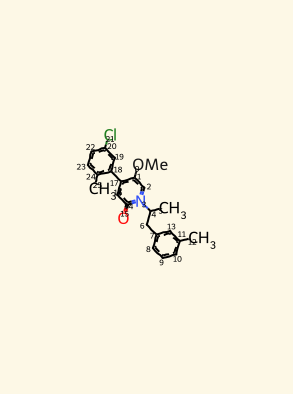 COc1cn(C(C)Cc2cccc(C)c2)c(=O)cc1-c1cc(Cl)ccc1C